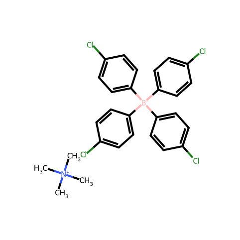 C[N+](C)(C)C.Clc1ccc([B-](c2ccc(Cl)cc2)(c2ccc(Cl)cc2)c2ccc(Cl)cc2)cc1